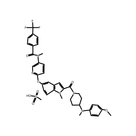 COc1ccc(N(C)C2CCN(C(=O)c3cc4cc(Oc5ccc(N(C)C(=O)c6ccc(C(F)(F)F)cc6)cn5)ccc4n3C)CC2)cc1.CS(=O)(=O)O